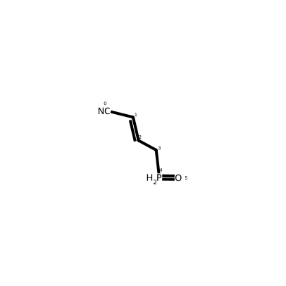 N#CC=CC[PH2]=O